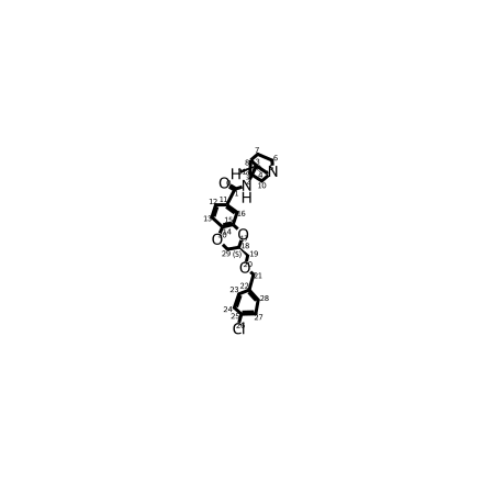 O=C(N[C@H]1CN2CCC1CC2)c1ccc2c(c1)O[C@@H](COCc1ccc(Cl)cc1)CO2